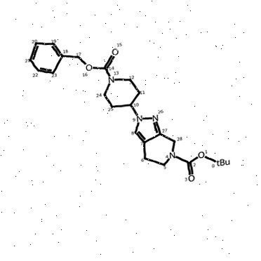 CC(C)(C)OC(=O)N1CCc2cn(C3CCN(C(=O)OCc4ccccc4)CC3)nc2C1